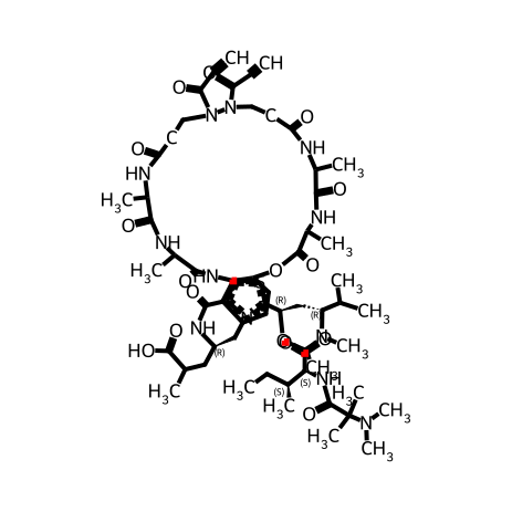 C#CC(=O)N1CCC(=O)NC(C)C(=O)NC(C)C(=O)Nc2cc(C[C@@H](CC(C)C(=O)O)NC(=O)c3csc([C@@H](C[C@H](C(C)C)N(C)C(=O)[C@@H](NC(=O)C(C)(C)N(C)C)[C@@H](C)CC)OC(C)=O)n3)ccc2OC(=O)C(C)NC(=O)C(C)NC(=O)CCN1C(=O)C#C